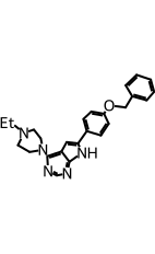 CCN1CCN(c2ncnc3[nH]c(-c4ccc(OCc5ccccc5)cc4)cc23)CC1